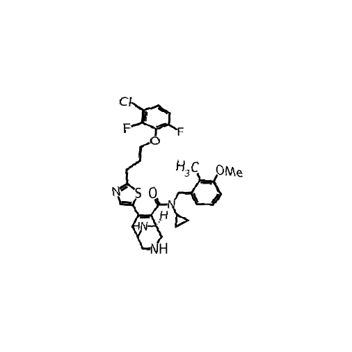 COc1cccc(CN(C(=O)C2=C(c3cnc(CCCOc4c(F)ccc(Cl)c4F)s3)CC3CNC[C@H]2N3)C2CC2)c1C